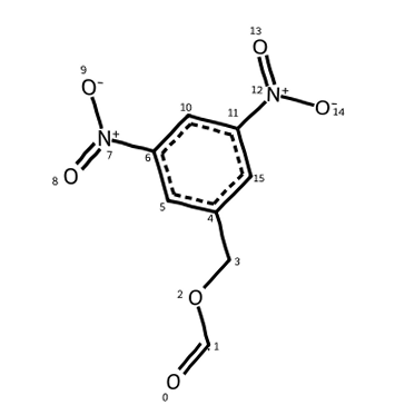 O=[C]OCc1cc([N+](=O)[O-])cc([N+](=O)[O-])c1